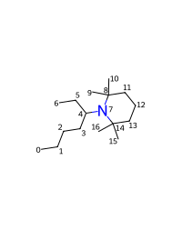 CCCCC(CC)N1C(C)(C)CCCC1(C)C